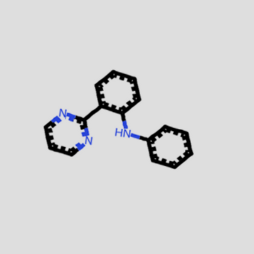 c1ccc(Nc2ccccc2-c2ncccn2)cc1